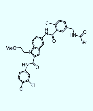 COCCn1c(C(=O)Nc2ccc(Cl)c(Cl)c2)cc2cc(NC(=O)c3cc(CNC(=O)C(C)C)ccc3Cl)ccc21